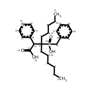 CCCCCCC(CCCCC)(C(C(=O)O)c1ccncc1)P(=O)(O)Cc1ccccc1